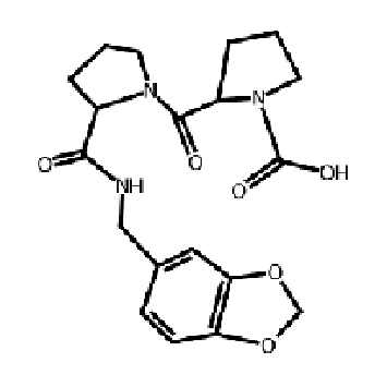 O=C(NCc1ccc2c(c1)OCO2)C1CCCN1C(=O)C1CCCN1C(=O)O